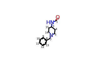 O=CNC1CCN(Cc2ccccc2)CC1